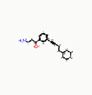 NCCC(O)c1cccc(C#CCCC2CCCCC2)c1